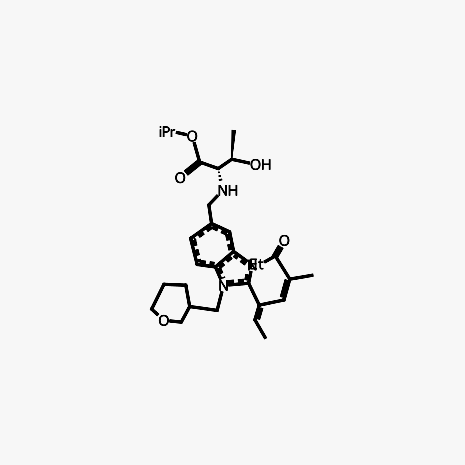 C/C=C(\C=C(\C)C(=O)CC)c1nc2cc(CN[C@H](C(=O)OC(C)C)[C@@H](C)O)ccc2n1CC1CCCOC1